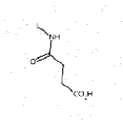 O=C(O)CCC(=O)NI